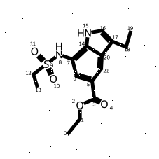 CCOC(=O)c1cc(NS(=O)(=O)CC)c2[nH]cc(CC)c2c1